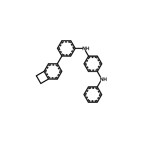 c1ccc(Nc2ccc(Nc3cccc(-c4ccc5c(c4)CC5)c3)cc2)cc1